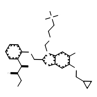 CC(C)(C)CC(=N)C(=O)c1ccccc1NCc1nc2cc(OCC3CC3)c(C#N)cc2n1COCCS(C)(C)C